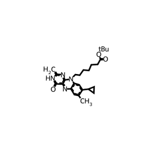 C=c1nc2c(c(=O)[nH]1)=Nc1cc(C)c(C3CC3)cc1N2CCCCCCC(=O)OC(C)(C)C